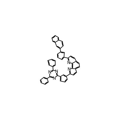 c1ccc(-c2nc(-c3ccccc3)nc(-c3cccc(-c4ccc5ccc6ccc(-c7cccc(-c8ccc9ccccc9c8)c7)nc6c5n4)c3)n2)cc1